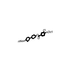 CCCCCCCCCC1CCC(C2CCC(OC(=O)c3ccc(CCCCCCCC)c(Cl)c3)CC2)CC1